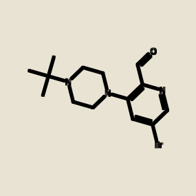 CC(C)(C)N1CCN(c2cc(Br)cnc2C=O)CC1